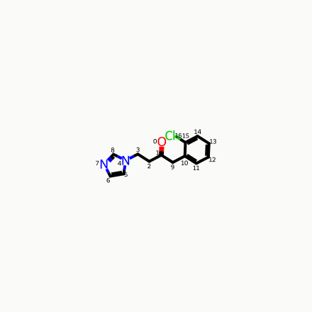 O=C(CCn1ccnc1)Cc1ccccc1Cl